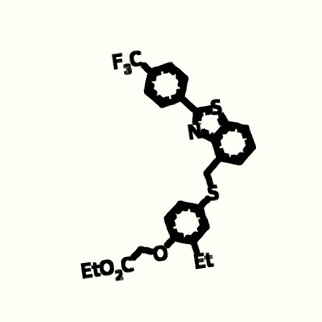 CCOC(=O)COc1ccc(SCc2cccc3sc(-c4ccc(C(F)(F)F)cc4)nc23)cc1CC